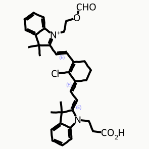 CC1(C)C(/C=C/C2=C(Cl)C(=C/C=C3/N(CCC(=O)O)c4ccccc4C3(C)C)/CCC2)=[N+](CCOC=O)c2ccccc21